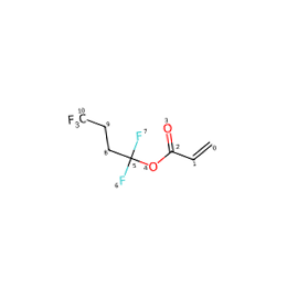 C=CC(=O)OC(F)(F)CCC(F)(F)F